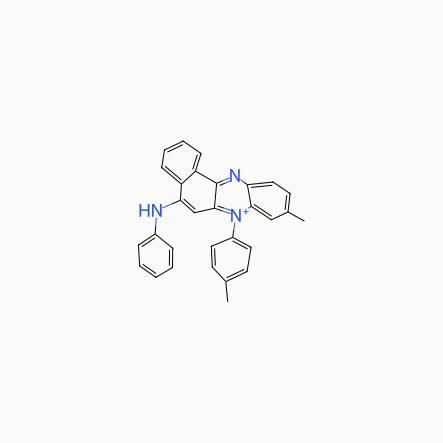 Cc1ccc(-[n+]2c3cc(C)ccc3nc3c4ccccc4c(Nc4ccccc4)cc32)cc1